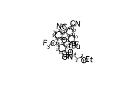 CCOCCCNS(=O)(=O)c1cccc(Oc2c(C(C)(C)C)c(F)cc3cc(C#N)c(C#N)c(-c4cccc(CC(F)(F)F)c4)c23)c1